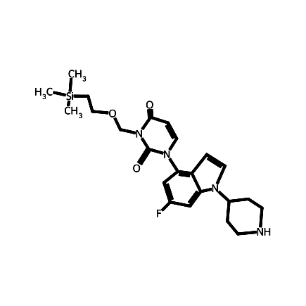 C[Si](C)(C)CCOCn1c(=O)ccn(-c2cc(F)cc3c2ccn3C2CCNCC2)c1=O